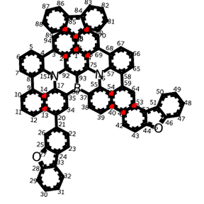 c1ccc(-c2cccc(-c3ccccc3)c2N2c3ccc(-c4ccc5c(c4)oc4ccccc45)cc3B3c4ccc(-c5ccc6oc7ccccc7c6c5)cc4N(c4c(-c5ccccc5)cccc4-c4ccccc4)c4cc(-n5c6ccccc6c6ccccc65)cc2c43)cc1